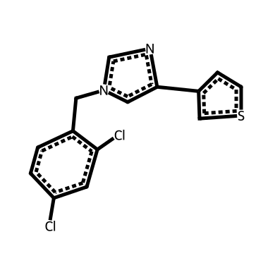 Clc1ccc(Cn2cnc(-c3ccsc3)c2)c(Cl)c1